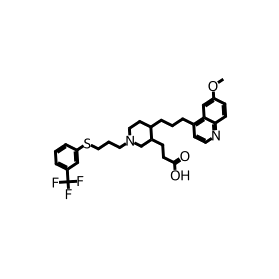 COc1ccc2nccc(CCCC3CCN(CCCSc4cccc(C(F)(F)F)c4)CC3CCC(=O)O)c2c1